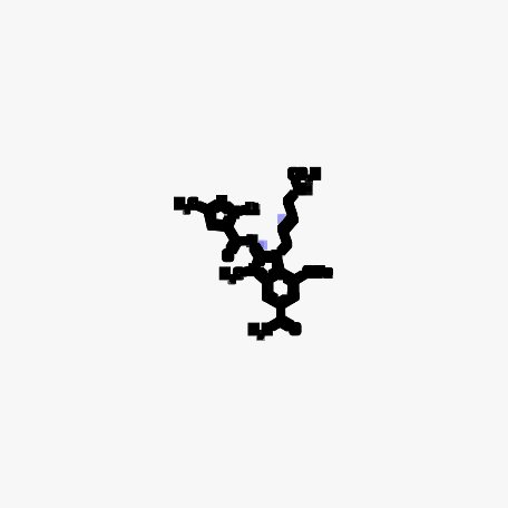 CCn1nc(C)cc1C(=O)/N=c1\n(C)c2cc(C(N)=O)cc(OC)c2n1C/C=C/CNC(=O)O